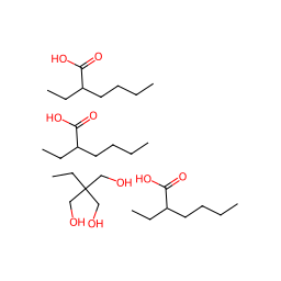 CCC(CO)(CO)CO.CCCCC(CC)C(=O)O.CCCCC(CC)C(=O)O.CCCCC(CC)C(=O)O